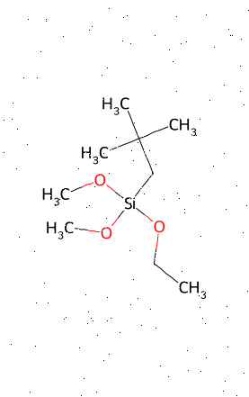 CCO[Si](CC(C)(C)C)(OC)OC